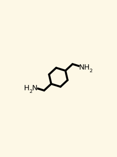 NCC1CCC(CN)CC1